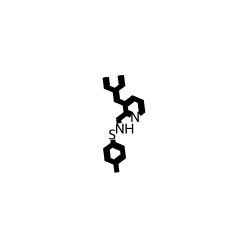 C=CC(C=C)=Cc1cccnc1CNSc1ccc(C)cc1